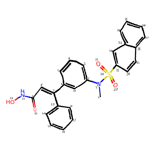 CN(c1cccc(C(=CC(=O)NO)c2ccccc2)c1)S(=O)(=O)c1ccc2ccccc2c1